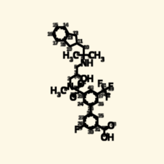 CN(C[C@H](O)CNC(C)(C)CC1Cc2ccccc2C1)S(=O)(=O)c1cc(-c2cc(F)cc(C(=O)O)c2)cc(C(F)(F)F)c1